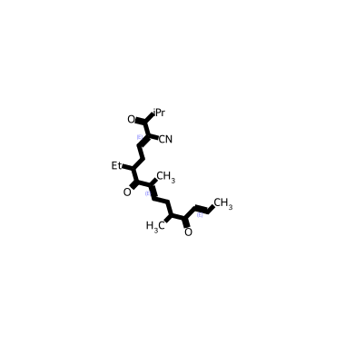 C/C=C/C(=O)C(C)C/C=C(\C)C(=O)C(CC)C/C=C(\C#N)C(=O)C(C)C